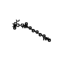 CCC(C)C1CC(C)N(C(C)=O)c2ccc(-c3ccc(C(=O)NCCOCCOCCOCCOCCOCCNC=O)cc3)cc21